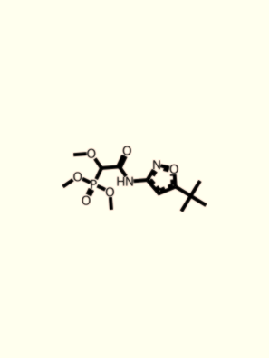 COC(C(=O)Nc1cc(C(C)(C)C)on1)P(=O)(OC)OC